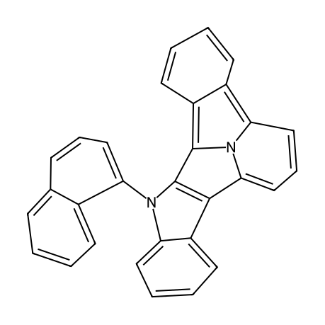 c1ccc2c(-n3c4ccccc4c4c3c3c5ccccc5c5cccc4n53)cccc2c1